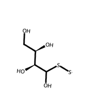 OC[C@@H](O)[C@H](O)C(O)S[S]